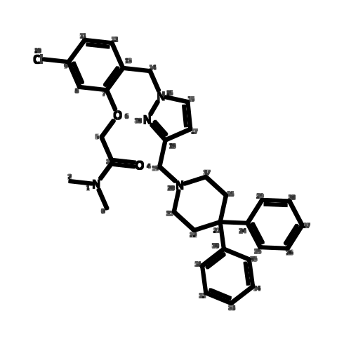 CN(C)C(=O)COc1cc(Cl)ccc1Cn1ccc(CN2CCC(c3ccccc3)(c3ccccc3)CC2)n1